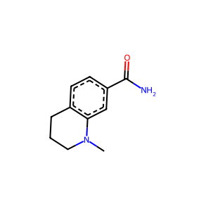 CN1CCCc2ccc(C(N)=O)cc21